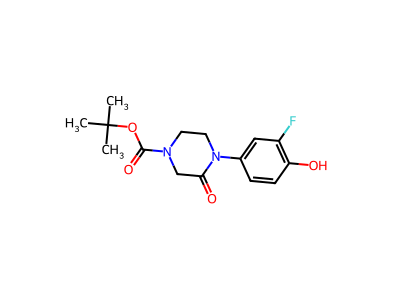 CC(C)(C)OC(=O)N1CCN(c2ccc(O)c(F)c2)C(=O)C1